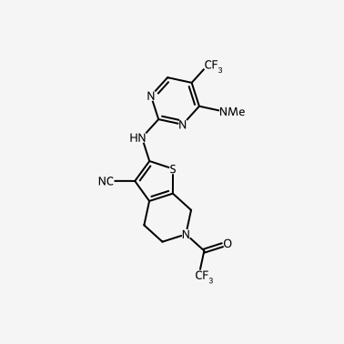 CNc1nc(Nc2sc3c(c2C#N)CCN(C(=O)C(F)(F)F)C3)ncc1C(F)(F)F